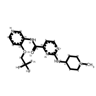 CN1CCC(Nc2nccc(C(=O)Nc3cnccc3OCC(F)(F)F)n2)CC1